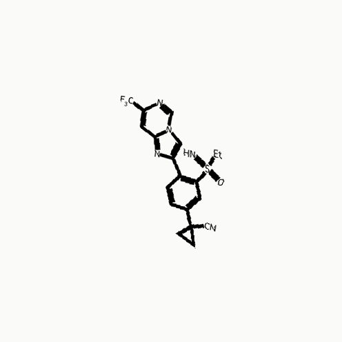 CCS(=N)(=O)c1cc(C2(C#N)CC2)ccc1-c1cn2cnc(C(F)(F)F)cc2n1